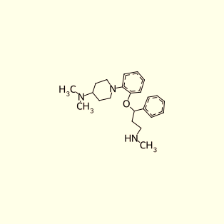 CNCCC(Oc1ccccc1N1CCC(N(C)C)CC1)c1ccccc1